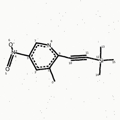 Cc1cc([N+](=O)[O-])cnc1C#C[Si](C)(C)C